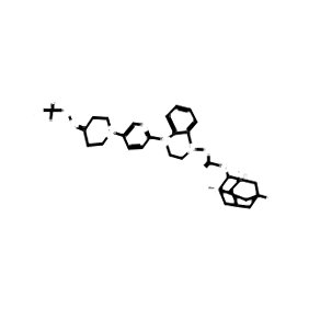 CC(C)(C)ON=C1CCN(c2ccc(N3CCN(OC(=O)NC4[C@@H]5CC6C[C@H]4CC(O)(C6)C5)c4ccccc43)nc2)CC1